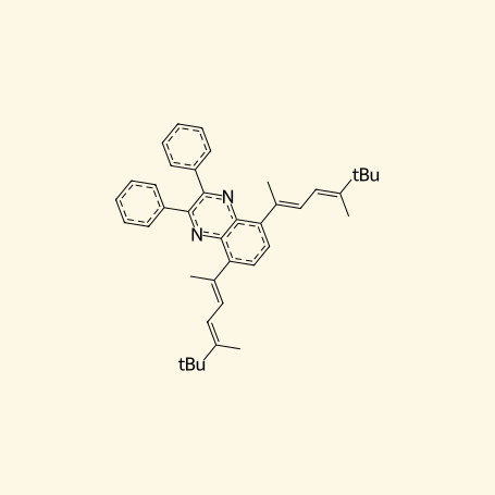 C/C(=C\C=C(/C)C(C)(C)C)c1ccc(/C(C)=C/C=C(\C)C(C)(C)C)c2nc(-c3ccccc3)c(-c3ccccc3)nc12